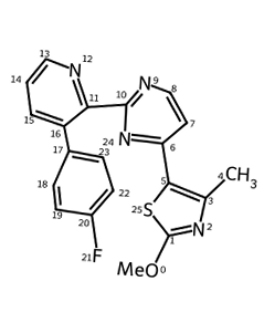 COc1nc(C)c(-c2ccnc(-c3ncccc3-c3ccc(F)cc3)n2)s1